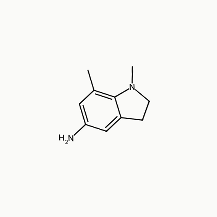 Cc1cc(N)cc2c1N(C)CC2